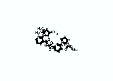 CC1CN(c2ncccc2C(=O)NS(=O)(=O)c2cccc(N3CCC[C@@H]3C(=O)OC(C)(C)C)n2)C(C)(C)C1